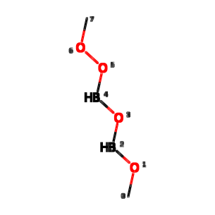 COBOBOOC